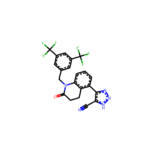 N#Cc1[nH]nnc1-c1cccc2c1CCC(=O)N2Cc1cc(C(F)(F)F)cc(C(F)(F)F)c1